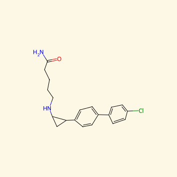 NC(=O)CCCCNC1CC1c1ccc(-c2ccc(Cl)cc2)cc1